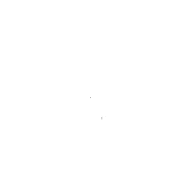 CCOP(=S)(NC=S)SC(C)C